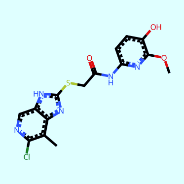 COc1nc(NC(=O)CSc2nc3c(C)c(Cl)ncc3[nH]2)ccc1O